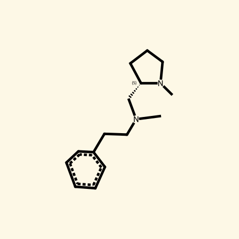 CN(CCc1ccccc1)C[C@@H]1CCCN1C